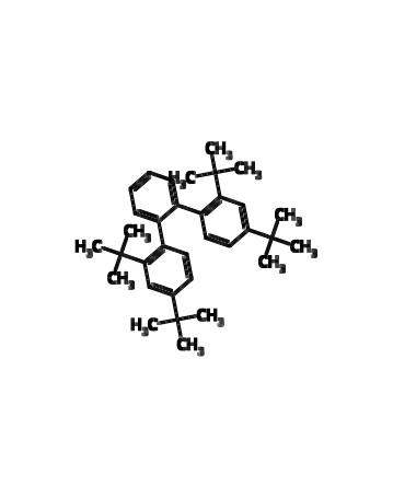 CC(C)(C)c1ccc(-c2ccccc2-c2ccc(C(C)(C)C)cc2C(C)(C)C)c(C(C)(C)C)c1